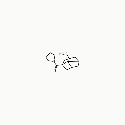 O=C(O)C12CC3CC(C1)CC(C(=O)N1CCCC1)(C3)C2